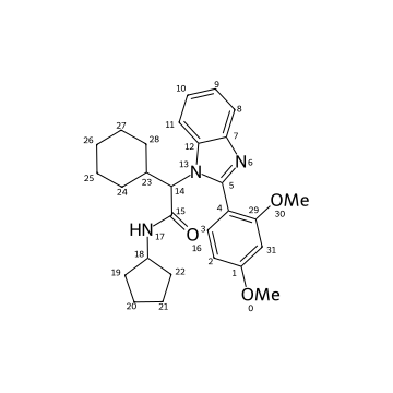 COc1ccc(-c2nc3ccccc3n2C(C(=O)NC2CCCC2)C2CCCCC2)c(OC)c1